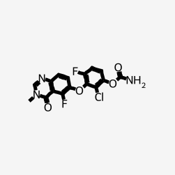 Cn1cnc2ccc(Oc3c(F)ccc(OC(N)=O)c3Cl)c(F)c2c1=O